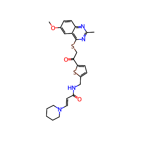 COc1ccc2nc(C)nc(SCC(=O)c3ccc(CNC(=O)C=CN4CCCCC4)s3)c2c1